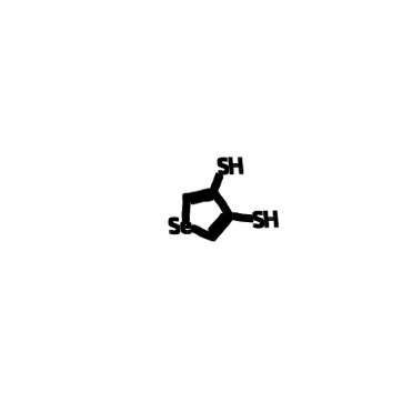 Sc1c[se]cc1S